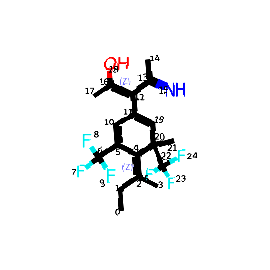 CC/C(C)=C1\C(C(F)(F)F)=CC(/C(C(C)=N)=C(\C)O)=CC1(C)C(F)(F)F